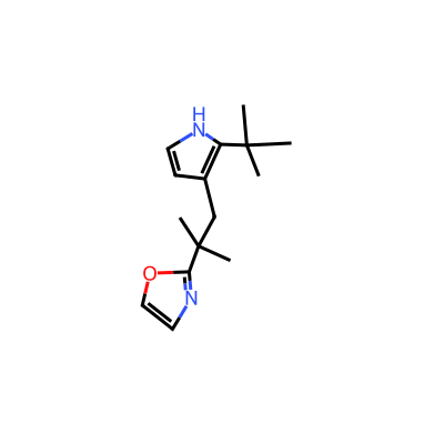 CC(C)(C)c1[nH]ccc1CC(C)(C)c1ncco1